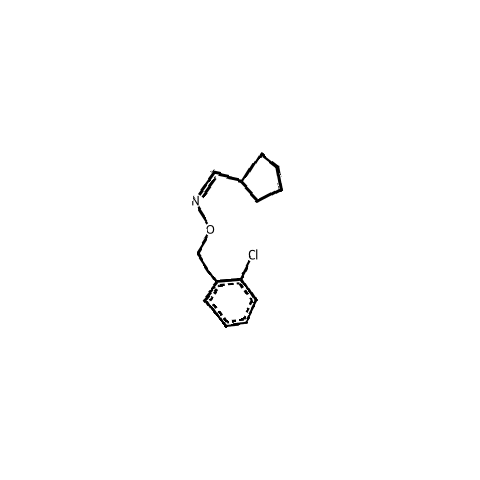 Clc1ccccc1CO/N=[C]\C1CCCC1